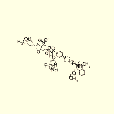 CCOC[C@H](NC1CC2(CCN(c3ccc(C(=O)NS(=O)(=O)c4cc5c(c([N+](=O)[O-])c4)S[C@@H]([C@H]4CC[C@](C)(O)CC4)CO5)c(Oc4cnc5[nH]cc(F)c5c4)c3)CC2)C1)c1ccccc1C(C)C